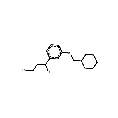 NCCC(O)c1cccc(OCC2CCCCC2)c1